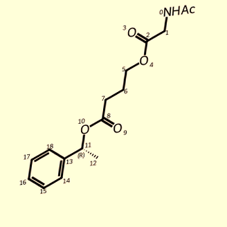 CC(=O)NCC(=O)OCCCC(=O)O[C@H](C)c1ccccc1